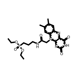 CCOP(=O)(CCCNC(=O)Cn1c2nc(=O)[nH]c(=O)c-2nc2cc(C)c(C)cc21)OCC